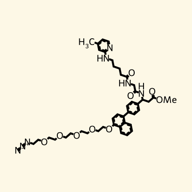 COC(=O)CC(NC(=O)CNC(=O)CCCCNc1cc(C)ccn1)c1ccc(-c2ccc(OCCOCCOCCOCCOCCN=[N+]=[N-])c3ccccc23)cc1